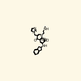 CNCCn1cc(Cn2ccnn2)c(=O)c2cc(NC3Cc4ccccc4C3)cnc21.Cl.Cl